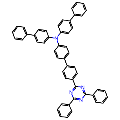 c1ccc(-c2ccc(N(c3ccc(-c4ccccc4)cc3)c3ccc(-c4ccc(-c5nc(-c6ccccc6)nc(-c6ccccc6)n5)cc4)cc3)cc2)cc1